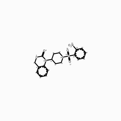 O=C1OCc2ccccc2N1C1CCN(S(=O)(=O)c2ccccc2[N+](=O)[O-])CC1